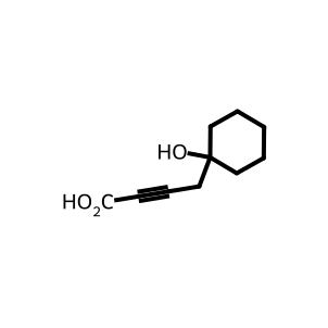 O=C(O)C#CCC1(O)CCCCC1